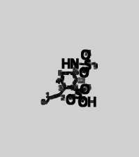 CC=Cc1ccc(NS(C)(=O)=O)cc1S(=O)(=O)O